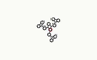 c1cc(-c2ccc3c(c2)C2(c4cccc(-n5c6ccccc6c6ccncc65)n4)c4ccccc4C3(c3cccc(-n4c5ccccc5c5ccncc54)n3)c3ccccc32)cc(-n2c3ccccc3c3ccncc32)c1